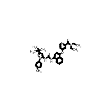 CCN(CC)C(=O)c1cc(Oc2ccc(NC(=O)Nc3cc(C(C)(C)C)nn3-c3ccc(C)cc3)c3ccccc23)ccn1